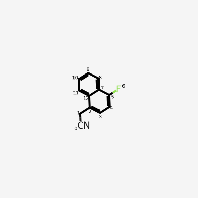 N#CCc1ccc(F)c2ccccc12